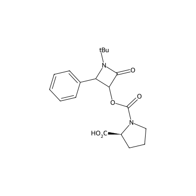 CC(C)(C)N1C(=O)C(OC(=O)N2CCC[C@H]2C(=O)O)C1c1ccccc1